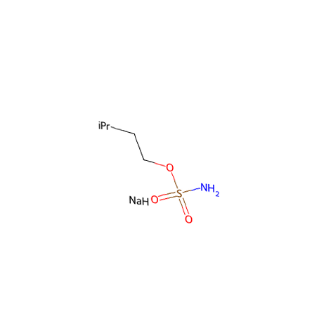 CC(C)CCOS(N)(=O)=O.[NaH]